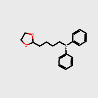 c1ccc([SiH](CCCCC2OCCO2)c2ccccc2)cc1